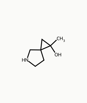 CC1(O)CC12CCNC2